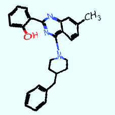 Cc1ccc2c(N3CCC(Cc4ccccc4)CC3)nc(-c3ccccc3O)nc2c1